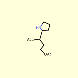 CC(=O)OCCC(OC(C)=O)C1CCCN1